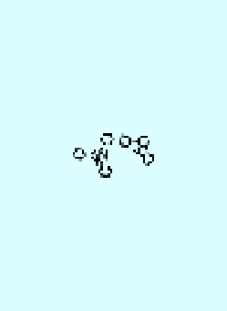 CC1(C)c2ccccc2-c2cccc(-c3ccc(-c4cccc(-c5cc(-c6ccccc6)nc(-c6ccccc6)n5)c4)cc3)c21